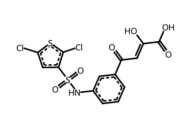 O=C(O)C(O)=CC(=O)c1cccc(NS(=O)(=O)c2cc(Cl)sc2Cl)c1